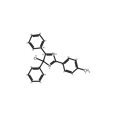 Cc1ccc(C2=NC(Cl)(c3ccccc3)C(c3ccccc3)=N2)cc1